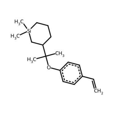 C=Cc1ccc(OC(C)(C)C2CCC[Si](C)(C)C2)cc1